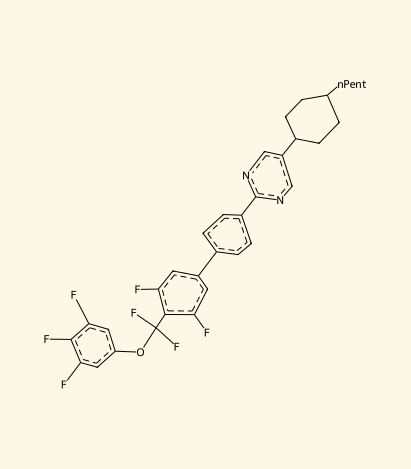 CCCCCC1CCC(c2cnc(-c3ccc(-c4cc(F)c(C(F)(F)Oc5cc(F)c(F)c(F)c5)c(F)c4)cc3)nc2)CC1